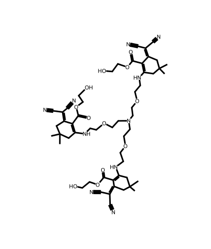 CC1(C)CC(NCCOCCN(CCOCCNC2=C(C(=O)OCCO)C(=C(C#N)C#N)CC(C)(C)C2)CCOCCNC2=C(C(=O)OCCO)C(=C(C#N)C#N)CC(C)(C)C2)=C(C(=O)OCCO)C(=C(C#N)C#N)C1